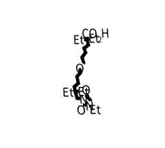 CCN1CC(=O)N(CC(CC)(CC)CCCCOCCCCCC(CC)(CC)C(=O)O)C1=O